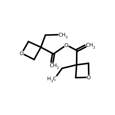 C=C(OC(=C)C1(CC)COC1)C1(CC)COC1